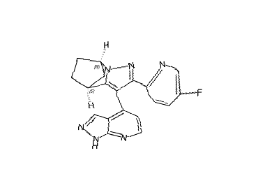 Fc1ccc(-c2nn3c(c2-c2ccnc4[nH]ncc24)[C@H]2CC[C@@H]3C2)nc1